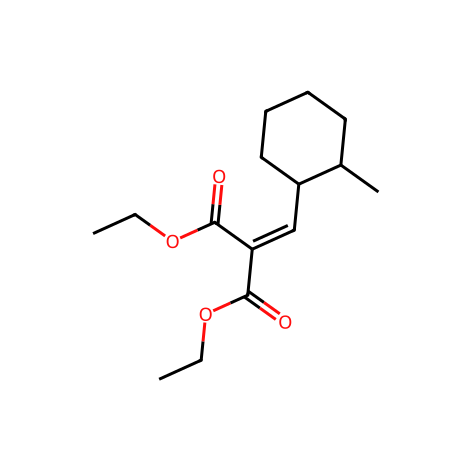 CCOC(=O)C(=CC1CCCCC1C)C(=O)OCC